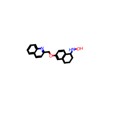 ONC1CCCc2cc(OCc3ccc4ccccc4n3)ccc21